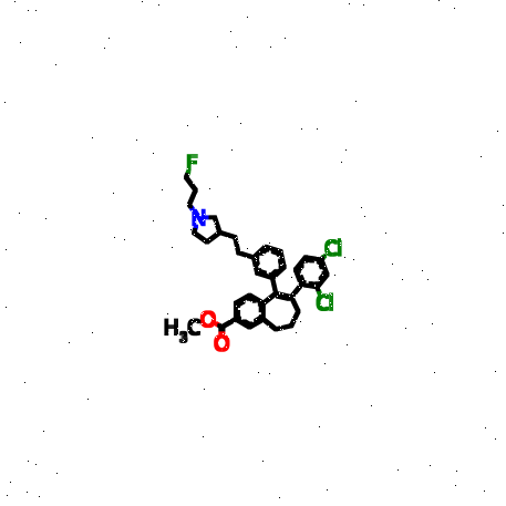 COC(=O)c1ccc2c(c1)CCCC(c1ccc(Cl)cc1Cl)=C2c1cccc(CCC2CCN(CCCF)C2)c1